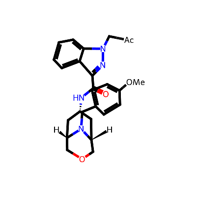 COc1ccc(CN2[C@@H]3COC[C@H]2C[C@@H](NC(=O)c2nn(CC(C)=O)c4ccccc24)C3)cc1